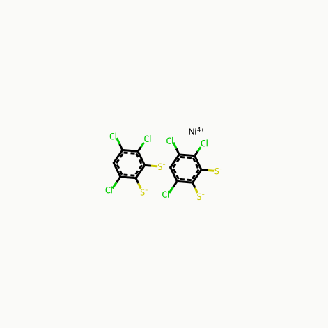 [Ni+4].[S-]c1c(Cl)cc(Cl)c(Cl)c1[S-].[S-]c1c(Cl)cc(Cl)c(Cl)c1[S-]